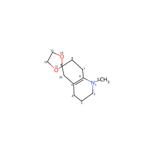 CN1CCCC2=C1CCC1(C2)OCCO1